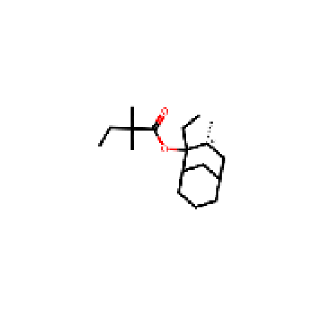 CCC(C)(C)C(=O)OC1(CC)C2CCCC(C2)C[C@H]1C